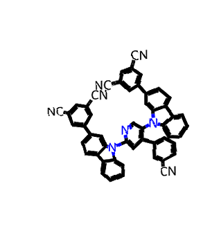 N#Cc1cc(C#N)cc(-c2ccc3c4ccccc4n(-c4cc(-c5cccc(C#N)c5)c(-n5c6ccccc6c6ccc(-c7cc(C#N)cc(C#N)c7)cc65)cn4)c3c2)c1